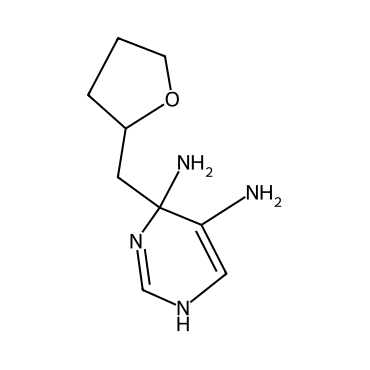 NC1=CNC=NC1(N)CC1CCCO1